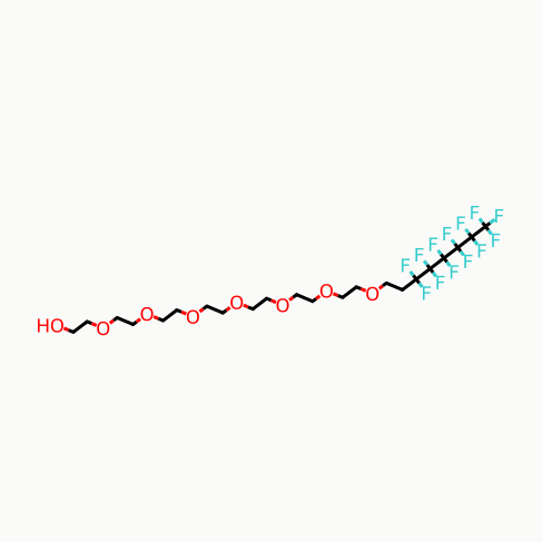 OCCOCCOCCOCCOCCOCCOCCOCCC(F)(F)C(F)(F)C(F)(F)C(F)(F)C(F)(F)C(F)(F)F